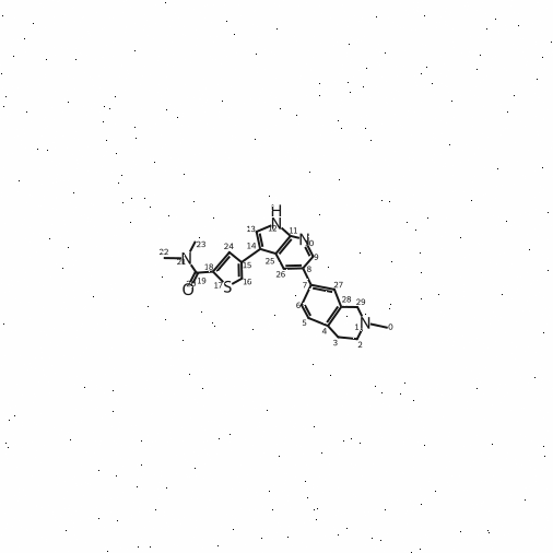 CN1CCc2ccc(-c3cnc4[nH]cc(-c5csc(C(=O)N(C)C)c5)c4c3)cc2C1